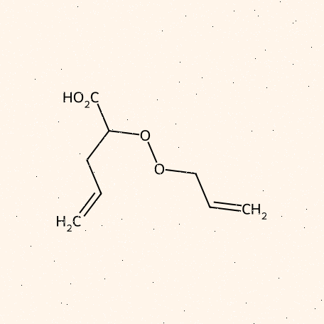 C=CCOOC(CC=C)C(=O)O